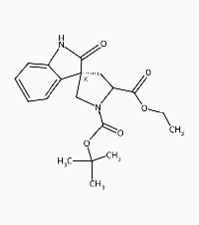 CCOC(=O)C1C[C@@]2(CN1C(=O)OC(C)(C)C)C(=O)Nc1ccccc12